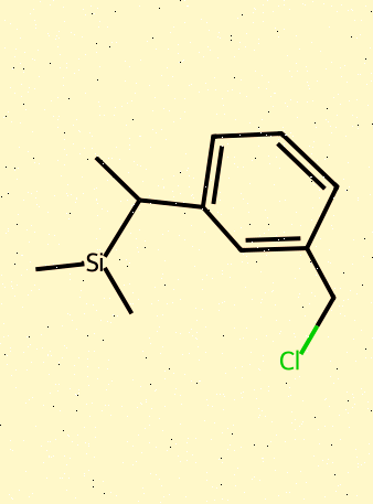 CC(c1cccc(CCl)c1)[Si](C)C